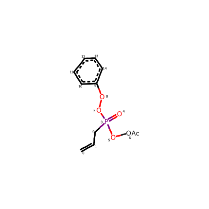 C=CCP(=O)(OOC(C)=O)OOc1ccccc1